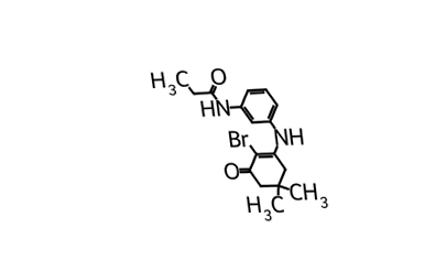 CCC(=O)Nc1cccc(NC2=C(Br)C(=O)CC(C)(C)C2)c1